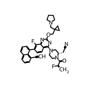 C#Cc1cccc2cccc(-c3ccc4c(N5CCN(C(=O)C(=C)F)[C@@H](CC#N)C5)nc(OCC5(CN6CCCC6)CC5)nc4c3F)c12